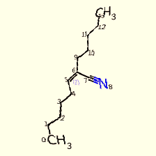 CCCCC/C=C(\C#N)CCCCC